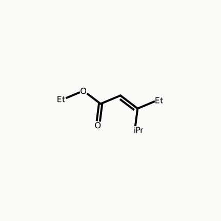 CCOC(=O)C=C(CC)C(C)C